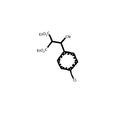 CCOC(=O)C(C(=O)OCC)C(C#N)c1ccc(Cl)cc1